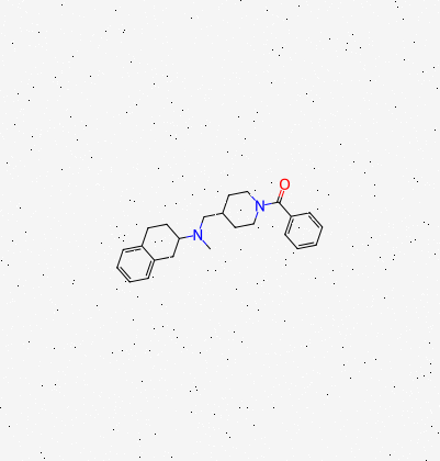 CN(CC1CCN(C(=O)c2ccccc2)CC1)C1CCc2ccccc2C1